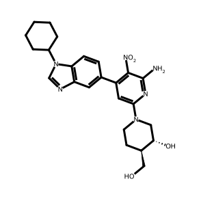 Nc1nc(N2CC[C@H](CO)[C@@H](O)C2)cc(-c2ccc3c(c2)ncn3C2CCCCC2)c1[N+](=O)[O-]